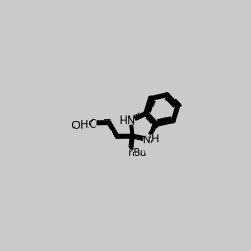 CCCCC1(CCC=O)Nc2ccccc2N1